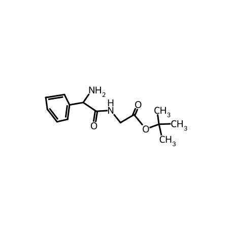 CC(C)(C)OC(=O)CNC(=O)C(N)c1ccccc1